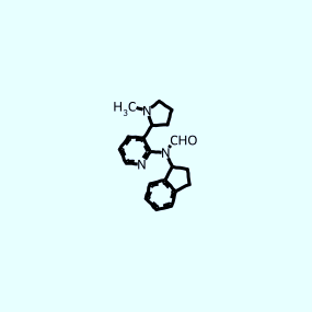 CN1CCCC1c1cccnc1N(C=O)C1CCc2ccccc21